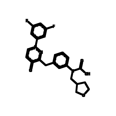 O=C(O)N(CC1CCOC1)c1cccc(Cc2nn(-c3cc(F)cc(F)c3)ccc2=O)c1